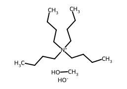 CCCC[N+](CCCC)(CCCC)CCCC.CO.[OH-]